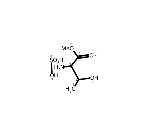 COC(=O)C(N)C(C)O.O=S(=O)(O)O